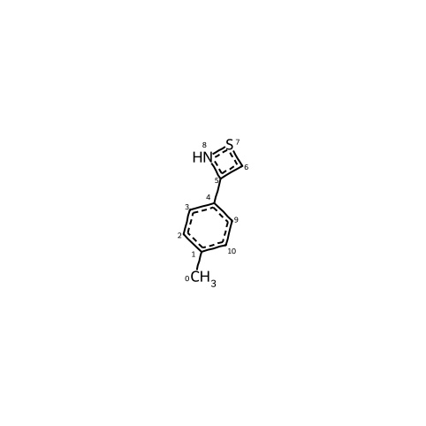 Cc1ccc(-c2cs[nH]2)cc1